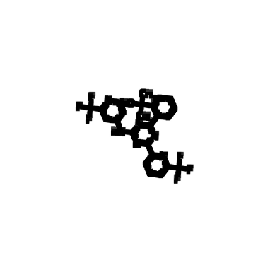 CC(C)(O)c1ccccc1-c1nc(Nc2ccnc(C(F)(F)F)c2)nc(-c2cccc(C(F)(F)F)n2)n1